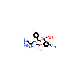 CN(C)Cc1[nH]nnc1CN1CCOC(O[C@H](CO)c2cc(C(F)(F)F)cc(C(F)(F)F)c2)C1c1ccc(F)cc1